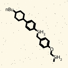 CCCCC1CCC(c2ccc([SiH2]Cc3ccc(OC[SiH2]C)cc3)cc2)CC1